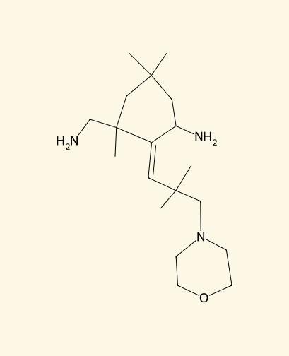 CC(C)(C=C1C(N)CC(C)(C)CC1(C)CN)CN1CCOCC1